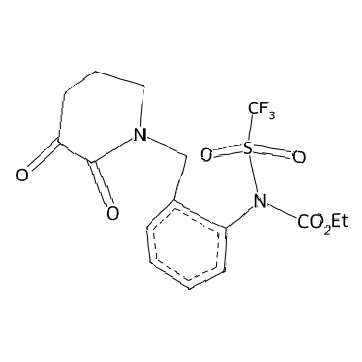 CCOC(=O)N(c1ccccc1CN1CCCC(=O)C1=O)S(=O)(=O)C(F)(F)F